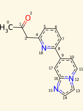 CC(=O)Cc1cccc(-c2ccn3ccnc3c2)n1